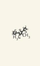 Cc1c(-c2cccs2)sc(-c2cccs2)c1C